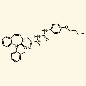 CCCCOc1ccc(NC(=O)N[C@@H](C)C(=O)N[C@H]2N=Cc3ccccc3N(c3ccccc3C)C2=O)cc1